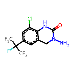 NN1Cc2cc(C(F)(C(F)(F)F)C(F)(F)F)cc(Cl)c2NC1=O